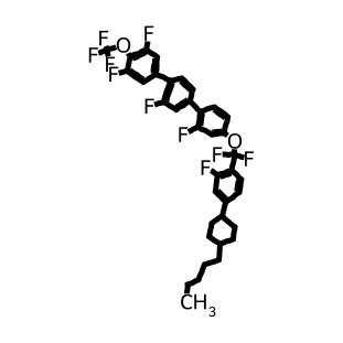 CCCCCC1CCC(c2ccc(C(F)(F)Oc3ccc(-c4ccc(-c5cc(F)c(OC(F)(F)F)c(F)c5)c(F)c4)c(F)c3)c(F)c2)CC1